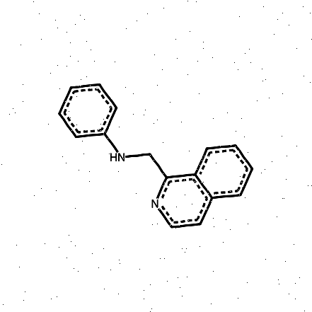 c1ccc(NCc2nccc3ccccc23)cc1